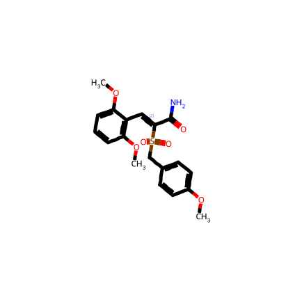 COc1ccc(CS(=O)(=O)/C(=C\c2c(OC)cccc2OC)C(N)=O)cc1